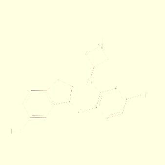 Cc1ccc2c(c1)C(Oc1ccc(Cl)cc1OC1CNC1)CC2